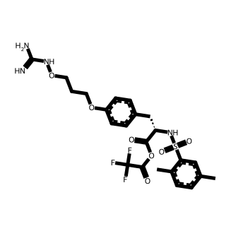 Cc1ccc(C)c(S(=O)(=O)N[C@@H](Cc2ccc(OCCCONC(=N)N)cc2)C(=O)OC(=O)C(F)(F)F)c1